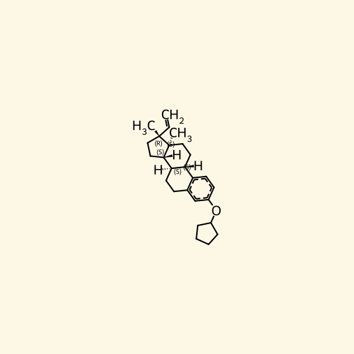 C=C[C@@]1(C)CC[C@H]2[C@@H]3CCc4cc(OC5CCCC5)ccc4[C@H]3CC[C@@]21C